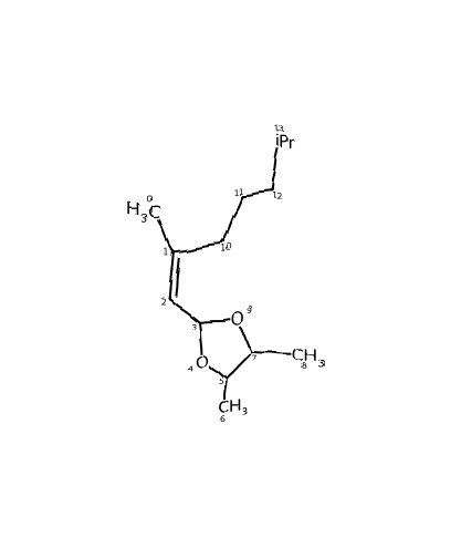 CC(=CC1OC(C)C(C)O1)CCCC(C)C